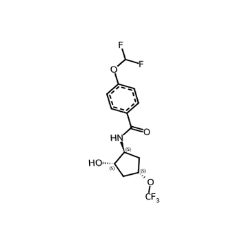 O=C(N[C@H]1C[C@H](OC(F)(F)F)C[C@@H]1O)c1ccc(OC(F)F)cc1